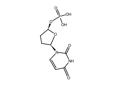 O=c1ccn([C@H]2CC[C@@H](OP(=O)(O)O)O2)c(=O)[nH]1